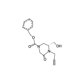 C#CCN1C(=O)CN(C(=O)OCc2ccccc2)C[C@@H]1CO